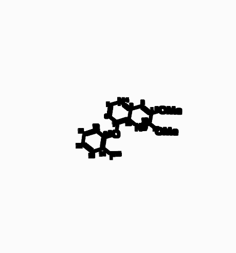 COc1cc2nccc(Oc3[c]cccc3F)c2nc1OC